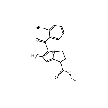 CCCc1ccccc1C(=O)c1c(C)cc2n1CCC2C(=O)OC(C)C